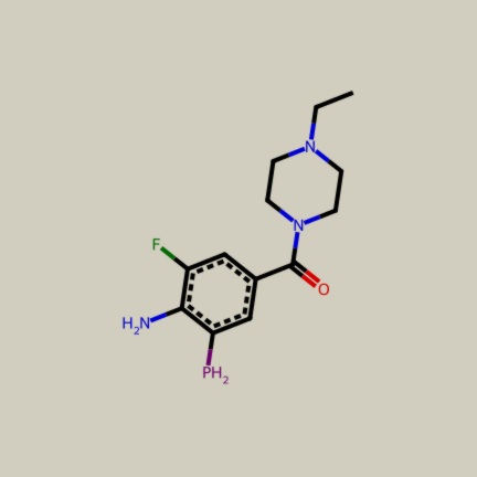 CCN1CCN(C(=O)c2cc(F)c(N)c(P)c2)CC1